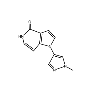 Cn1cc(-n2ccc3c(=O)[nH]ccc32)cn1